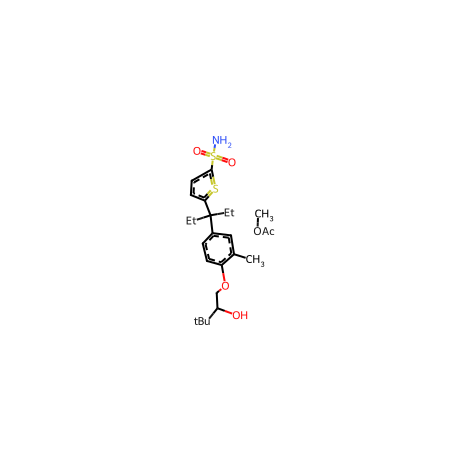 CCC(CC)(c1ccc(OCC(O)C(C)(C)C)c(C)c1)c1ccc(S(N)(=O)=O)s1.COC(C)=O